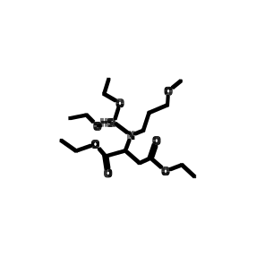 CCOC(=O)CC(C(=O)OCC)N(CCCOC)[SiH](OCC)OCC